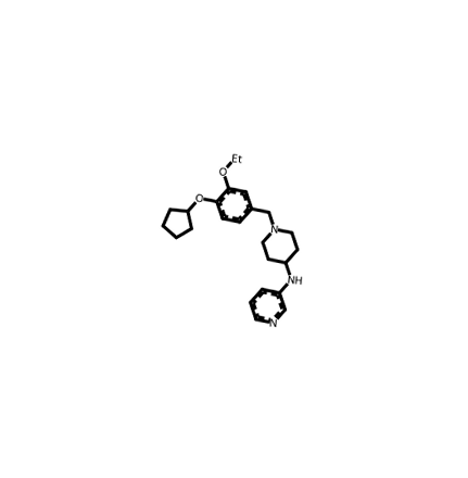 CCOc1cc(CN2CCC(Nc3cccnc3)CC2)ccc1OC1CCCC1